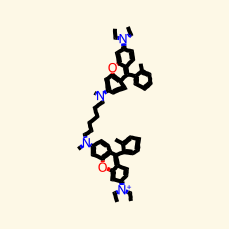 CC[N+](CC)=c1ccc2c(-c3ccccc3C)c3ccc(N(C)CCCCCCN(C)c4ccc5c(-c6ccccc6C)c6ccc(=[N+](CC)CC)cc-6oc5c4)cc3oc-2c1